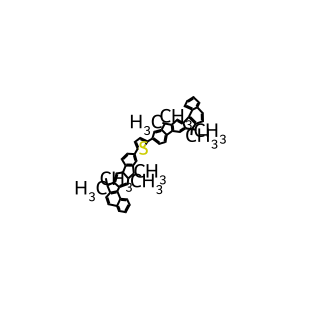 CC1(C)C2=CC3c4ccc(-c5ccc(-c6ccc7c(c6)C(C)(C)c6cc8c(cc6-7)C(C)(C)c6ccc7ccccc7c6-8)s5)cc4C(C)(C)C3C=C2c2c1ccc1ccccc21